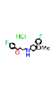 COC1(c2ccc(F)cc2)CCC(NCCCC(=O)c2ccc(F)cc2)CC1.Cl